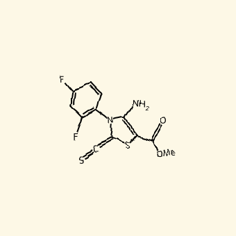 COC(=O)C1=C(N)N(c2ccc(F)cc2F)C(=C=S)S1